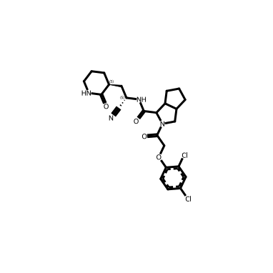 N#C[C@H](C[C@@H]1CCCNC1=O)NC(=O)C1C2CCCC2CN1C(=O)COc1ccc(Cl)cc1Cl